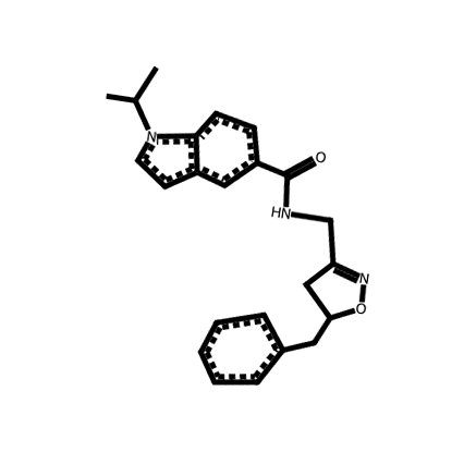 CC(C)n1ccc2cc(C(=O)NCC3=NOC(Cc4ccccc4)C3)ccc21